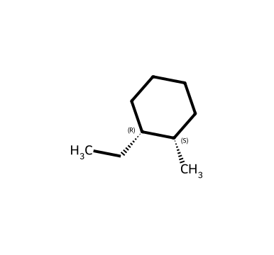 CC[C@@H]1CCCC[C@@H]1C